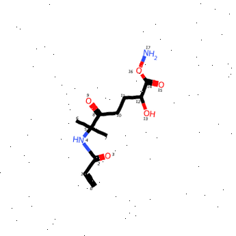 C=CC(=O)NC(C)(C)C(=O)CCC(O)C(=O)ON